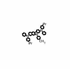 Cc1ccc(-n2c3cc(N(c4ccccc4)c4ccc(C(C)C)cc4)ccc3c3cc4ccc(N(c5ccccc5)c5ccc(C(C)C)cc5)cc4cc32)cc1